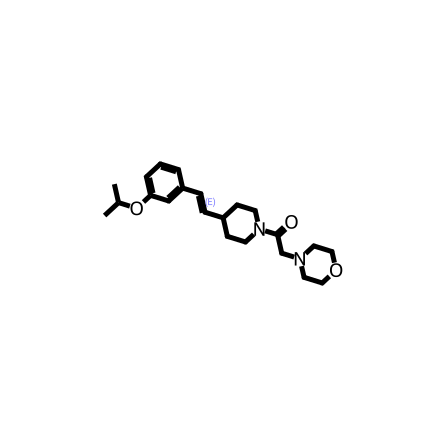 CC(C)Oc1cccc(/C=C/C2CCN(C(=O)CN3CCOCC3)CC2)c1